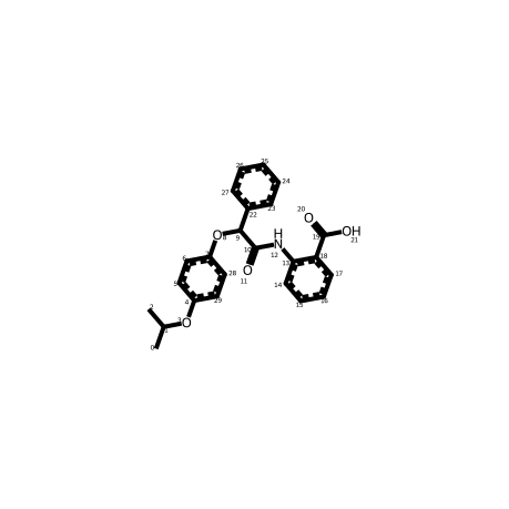 CC(C)Oc1ccc(OC(C(=O)Nc2ccccc2C(=O)O)c2ccccc2)cc1